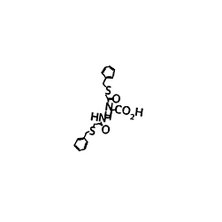 O=C(CSCc1ccccc1)NCC(NC(=O)CSCc1ccccc1)C(=O)O